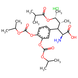 CC(C)OC(=O)Oc1ccc(C([C@H](N)C(=O)O)[C@@H](C)[C@@H](C)OC(=O)C(C)C)cc1OC(=O)OC(C)C.Cl